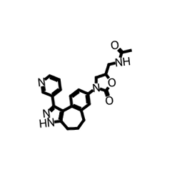 CC(=O)NCC1CN(c2ccc3c(c2)CCCc2[nH]nc(-c4cccnc4)c2-3)C(=O)O1